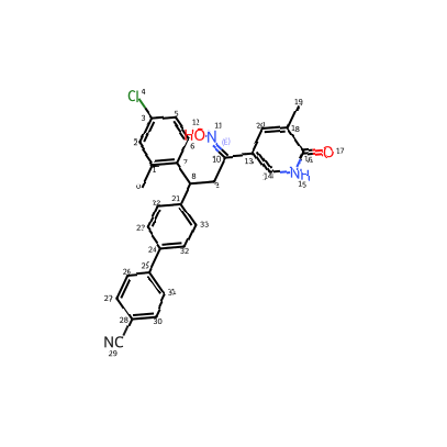 Cc1cc(Cl)ccc1C(C/C(=N\O)c1c[nH]c(=O)c(C)c1)c1ccc(-c2ccc(C#N)cc2)cc1